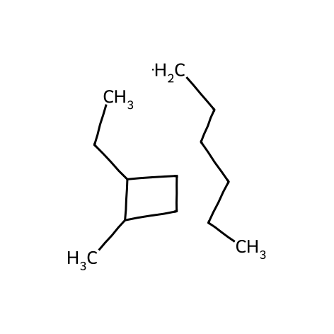 CCC1CCC1C.[CH2]CCCCC